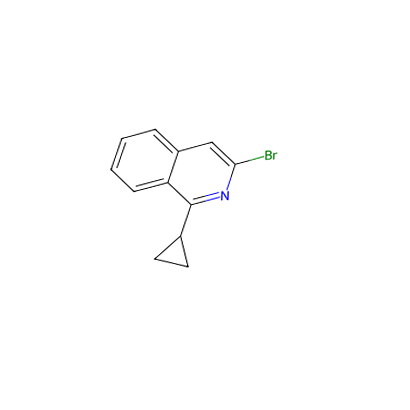 Brc1cc2ccccc2c(C2CC2)n1